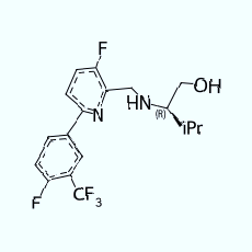 CC(C)[C@H](CO)NCc1nc(-c2ccc(F)c(C(F)(F)F)c2)ccc1F